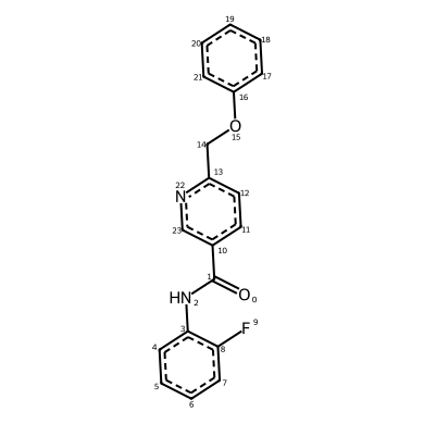 O=C(Nc1ccccc1F)c1ccc(COc2ccccc2)nc1